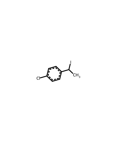 CC(I)c1ccc(Cl)cc1